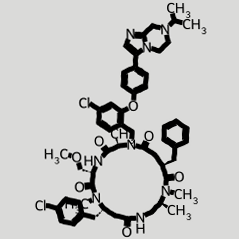 COC[C@@H]1NC(=O)[C@H](C)N(Cc2ccc(Cl)cc2Oc2ccc(-c3cnc4n3CCN(C(C)C)C4)cc2)C(=O)C[C@@H](Cc2ccccc2)C(=O)N(C)[C@@H](C)CNC(=O)C[C@H](Cc2ccc(Cl)cc2)N(C)C1=O